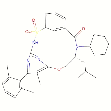 Cc1cccc(C)c1-c1nc2nc(c1C)OC[C@@H](CC(C)C)N(C1CCCCC1)C(=O)c1cccc(c1)S(=O)(=O)N2